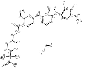 CCc1cc(Nc2nccn3c(-c4ccc(OC)c(F)c4F)cnc23)ccc1C(=O)NCC1CCN(C(C)(C)C(=O)O)CC1.O=CO